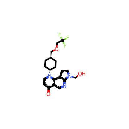 O=c1ccn([C@H]2CC[C@H](COCC(F)(F)F)CC2)c2c1cnc1c2ccn1CO